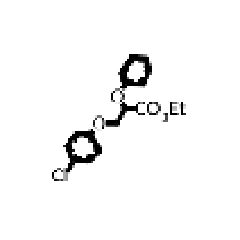 CCOC(=O)C(COc1ccc(Cl)cc1)Oc1ccccc1